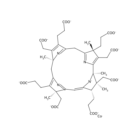 C[C@]1(CCC(=O)[O-])C2=NC(=C1CC(=O)[O-])[C@]1(C)[N-]/C(=C\C3=NC(=C(CCC(=O)[O-])[C@]3(C)CC(=O)[O-])C[C@]3(C)N=C(C2)C(CCC(=O)[O-])=C3CC(=O)[O-])[C@@H](CCC(=O)[O-])[C@]1(C)CC(=O)[O-].[Co]